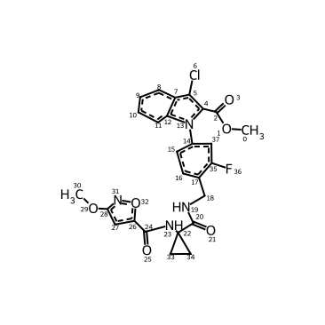 COC(=O)c1c(Cl)c2ccccc2n1-c1ccc(CNC(=O)C2(NC(=O)c3cc(OC)no3)CC2)c(F)c1